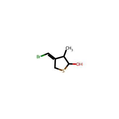 CC1C(=CBr)CSC1O